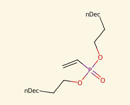 C=CP(=O)(OCCCCCCCCCCCC)OCCCCCCCCCCCC